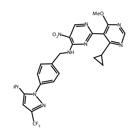 COc1ncnc(C2CC2)c1-c1ncc([N+](=O)[O-])c(NCc2ccc(-n3nc(C(F)(F)F)cc3C(C)C)cc2)n1